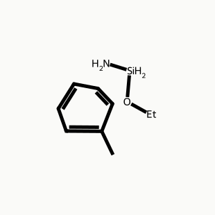 CCO[SiH2]N.Cc1ccccc1